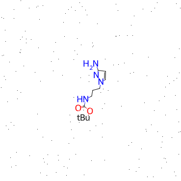 CC(C)(C)OC(=O)NCCCn1ccc(N)n1